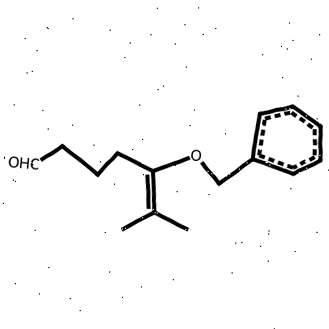 CC(C)=C(CCCC=O)OCc1ccccc1